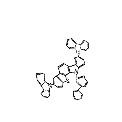 c1ccc(-c2cccc(-n3c4ccc(-n5c6ccccc6c6ccccc65)cc4c4ccc5c6cc(-n7c8ccccc8c8ccccc87)ccc6sc5c43)c2)cc1